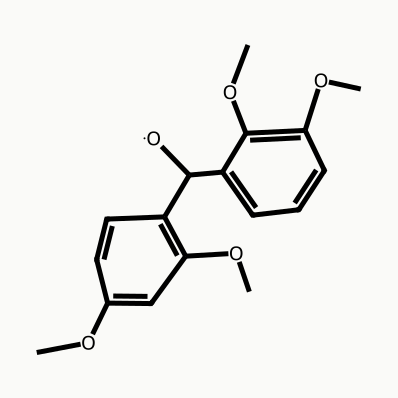 COc1ccc(C([O])c2cccc(OC)c2OC)c(OC)c1